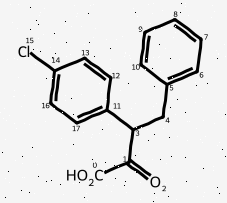 O=C(O)C(=O)C(Cc1ccccc1)c1ccc(Cl)cc1